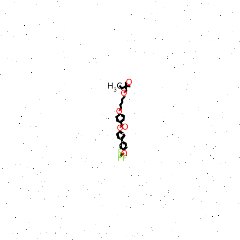 CCC1(COCCCCCOc2ccc(C(=O)Oc3ccc(-c4ccc(OC(F)(F)F)cc4)cc3)cc2)COC1